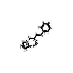 CCCCCCCCSC(/C=C/c1ccccc1)Cn1ccnc1